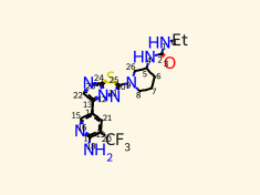 CCNC(=O)NC1CCCN(c2nn3c(-c4cnc(N)c(C(F)(F)F)c4)cnc3s2)C1